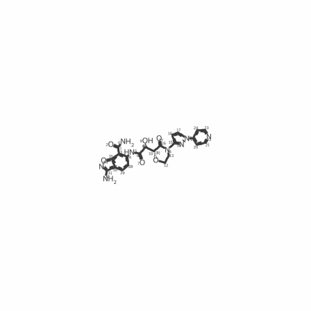 NC(=O)c1c(NC(=O)[C@H](O)[C@H]2OCCN(c3ccn(-c4ccncc4)n3)C2=O)ccc2c(N)noc12